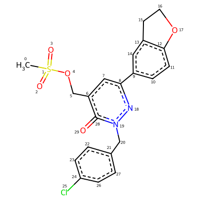 CS(=O)(=O)OCc1cc(-c2ccc3c(c2)CCO3)nn(Cc2ccc(Cl)cc2)c1=O